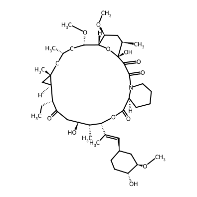 CC[C@H]1C(=O)C[C@H](O)[C@@H](C)[C@@H](/C(C)=C/[C@@H]2CC[C@@H](O)[C@H](OC)C2)OC(=O)[C@@H]2CCCCN2C(=O)C(=O)[C@]2(O)O[C@H]([C@@H](OC)C[C@@H](C)C[C@@]3(C)C[C@H]13)[C@@H](OC)C[C@H]2C